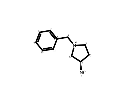 [C-]#[N+][C@@H]1CCN(Cc2ccccc2)C1